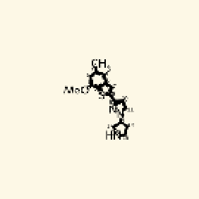 COc1cc(C)cc2cc(-c3ccn(C4CCNC4)n3)sc12